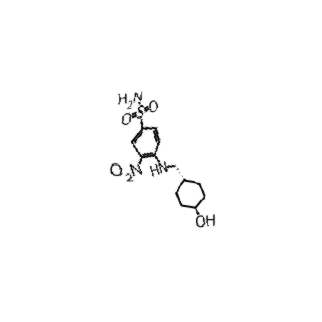 NS(=O)(=O)c1ccc(NC[C@H]2CC[C@H](O)CC2)c([N+](=O)[O-])c1